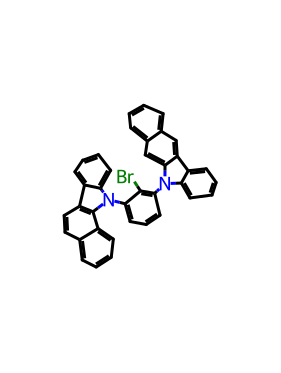 Brc1c(-n2c3ccccc3c3cc4ccccc4cc32)cccc1-n1c2ccccc2c2ccc3ccccc3c21